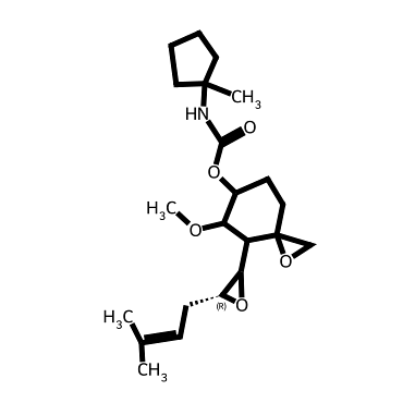 COC1C(OC(=O)NC2(C)CCCC2)CCC2(CO2)C1C1O[C@@H]1CC=C(C)C